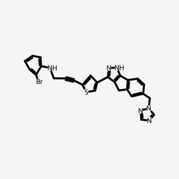 Brc1ccccc1NCC#Cc1cc(-c2n[nH]c3c2Cc2cc(Cn4cncn4)ccc2-3)cs1